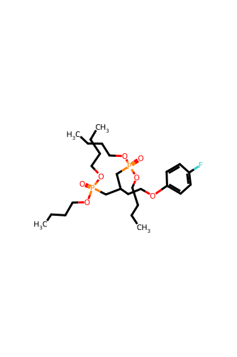 CCCCOP(=O)(CC(CCOc1ccc(F)cc1)CP(=O)(OCCCC)OCCCC)OCCCC